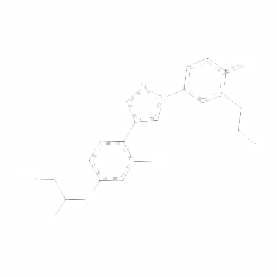 CCCn1cc(-n2cc(-c3ccc(OC(C)CO)cc3Cl)cn2)ccc1=O